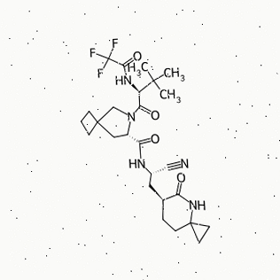 CC(C)(C)[C@H](NC(=O)C(F)(F)F)C(=O)N1CC2(CCC2)C[C@H]1C(=O)N[C@H](C#N)C[C@@H]1CCC2(CC2)NC1=O